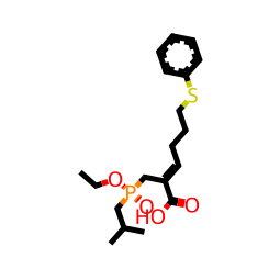 CCOP(=O)(CC(=CCCCSc1ccccc1)C(=O)O)CC(C)C